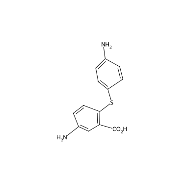 Nc1ccc(Sc2ccc(N)cc2C(=O)O)cc1